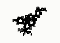 CS(=O)(=O)CC(=O)N1CC[C@@]2(S(=O)(=O)c3ccc(F)cc3)c3ccc(C(F)(C(F)(F)F)C(F)(F)F)cc3CC[C@@H]12